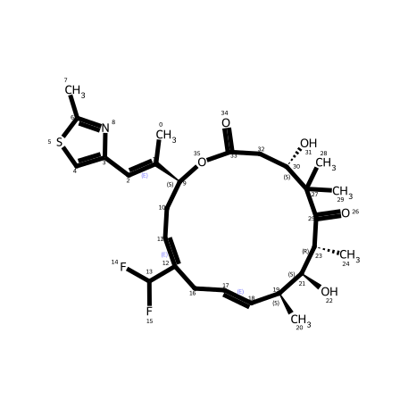 C/C(=C\c1csc(C)n1)[C@@H]1C/C=C(/C(F)F)C/C=C/[C@H](C)[C@H](O)[C@@H](C)C(=O)C(C)(C)[C@@H](O)CC(=O)O1